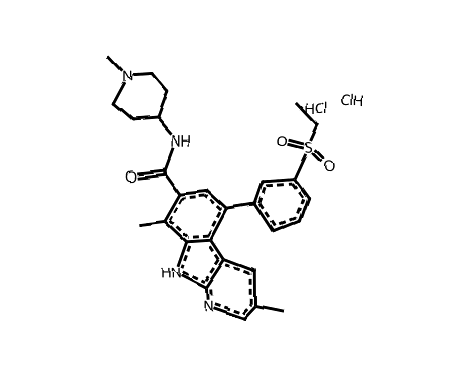 CCS(=O)(=O)c1cccc(-c2cc(C(=O)NC3CCN(C)CC3)c(C)c3[nH]c4ncc(C)cc4c23)c1.Cl.Cl